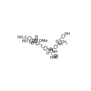 COc1c(/C=C/c2ccc(NC(=O)[C@H](Cc3cnn[nH]3)NC(=O)c3ccc(NC(=O)/C(C)=C/c4ccc(O)cc4)cc3)cc2)ccc(C(=O)Nc2ccc(C(=O)O)c(O)c2OC)c1O